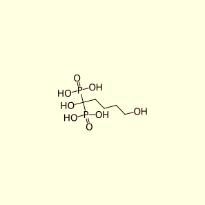 O=P(O)(O)C(O)(CCCCO)P(=O)(O)O